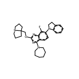 Fc1c(N2CCc3ccccc32)ccc2c(N3CCCCCC3)nc(OCC34CCCN3CCC4)nc12